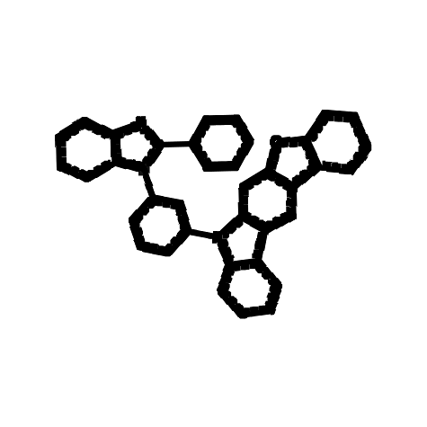 c1ccc(-c2nc3ccccc3n2-c2cccc(-n3c4ccccc4c4cc5c(cc43)oc3ccccc35)c2)cc1